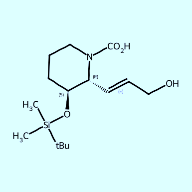 CC(C)(C)[Si](C)(C)O[C@H]1CCCN(C(=O)O)[C@@H]1/C=C/CO